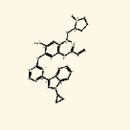 C=CC(=O)Nc1cc(Nc2ncnc(-c3cn(C4CC4)c4ccccc34)n2)c(OC)cc1N(C)CC1CCCN1C